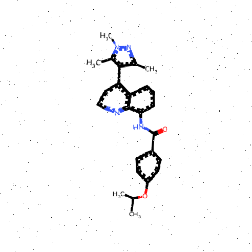 Cc1nn(C)c(C)c1-c1ccnc2c(NC(=O)c3ccc(OC(C)C)cc3)cccc12